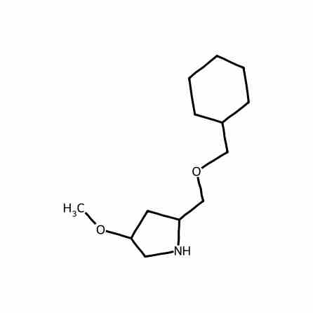 COC1CNC(COCC2CCCCC2)C1